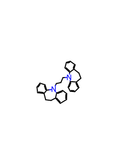 c1ccc2c(c1)CCc1ccccc1N2CCCN1c2ccccc2CCc2ccccc21